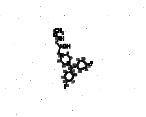 CONCC(O)CN1CCN(C(c2ccc(F)cc2)c2ccc(F)cc2)CC1